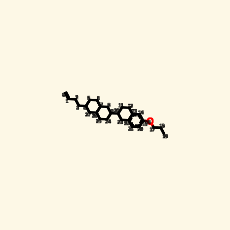 C=CCCC1CCC2CC(C3CCc4cc(OCCC)ccc4C3)CCC2C1